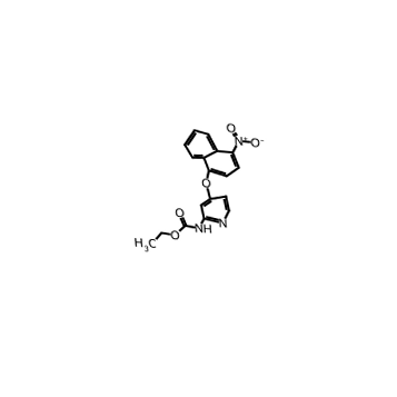 CCOC(=O)Nc1cc(Oc2ccc([N+](=O)[O-])c3ccccc23)ccn1